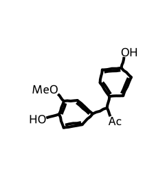 COc1cc(C(C(C)=O)c2ccc(O)cc2)ccc1O